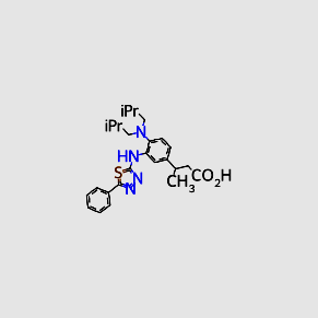 CC(C)CN(CC(C)C)c1ccc(C(C)CC(=O)O)cc1Nc1nnc(-c2ccccc2)s1